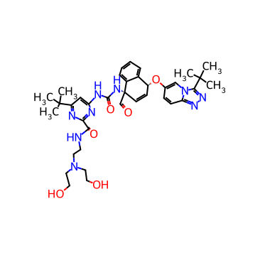 CC(C)(C)c1cc(NC(=O)N[C@@]2(C=O)C=C[C@@H](Oc3ccc4nnc(C(C)(C)C)n4c3)c3ccccc32)nc(C(=O)NCCN(CCO)CCO)n1